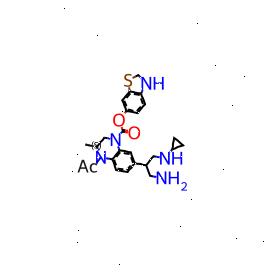 CC(=O)N1c2ccc(C(CN)CNC3CC3)cc2N(C(=O)Oc2ccc3c(c2)SCN3)C[C@@H]1C